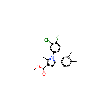 COC(=O)c1cc(-c2ccc(C)c(C)c2)n(-c2ccc(Cl)c(Cl)c2)c1C